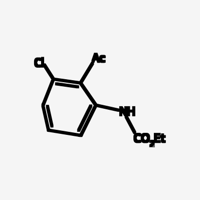 CCOC(=O)Nc1cccc(Cl)c1C(C)=O